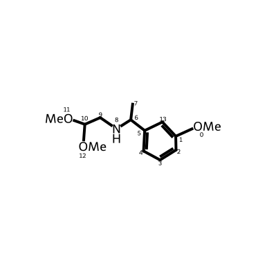 COc1cccc(C(C)NCC(OC)OC)c1